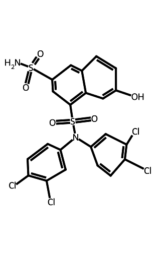 NS(=O)(=O)c1cc(S(=O)(=O)N(c2ccc(Cl)c(Cl)c2)c2ccc(Cl)c(Cl)c2)c2cc(O)ccc2c1